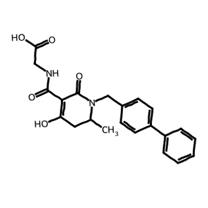 CC1CC(O)=C(C(=O)NCC(=O)O)C(=O)N1Cc1ccc(-c2ccccc2)cc1